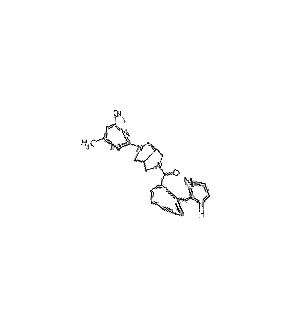 Cc1cc(C)nc(N2C=C3CN(C(=O)c4ccccc4-c4ncc[nH]4)CC3C2)n1